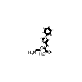 NCCO[C@@H](Cc1cn(-c2ccccc2)cn1)C(=O)O